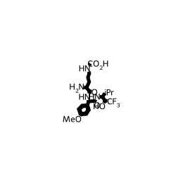 COc1ccc(C(NC(=O)C(N)CCCNC(=O)O)C(=O)NC(C(C)C)C(O)C(F)(F)F)cc1